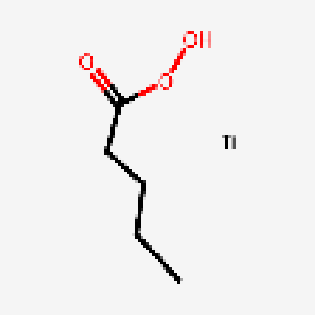 CCCCC(=O)OO.[Ti]